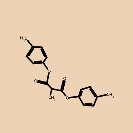 Cc1ccc(OC(=O)C(C)C(=O)Oc2ccc(C)cc2)cc1